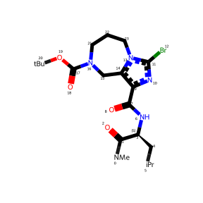 CNC(=O)[C@H](CC(C)C)NC(=O)c1nc(Br)n2c1CN(C(=O)OC(C)(C)C)CCC2